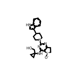 [O-][S+]1CCc2nc(N3CCC(c4c[nH]c5ccccc45)CC3)nc(NC3(CO)CC3)c21